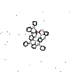 c1ccc(N2c3ccccc3B3c4ccc5c(c4Oc4cccc2c43)B2c3cc4c(cc3N(c3ccccc3)c3cccc(c32)N5c2ccccc2)Oc2cccc3c2B4c2ccccc2O3)cc1